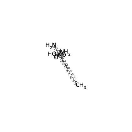 CCCCCCCCCCCCCCCCCCN(C(N)=O)[C@@H](CCCCN)C(=O)O